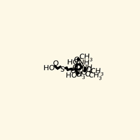 CC(=O)N[C@@H]1[C@@H](NC(=O)OC(C)(C)C)C[C@](OCCCSCCC(=O)O)(C(=O)O)O[C@H]1O